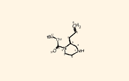 C=CCC1CNCCN1C(=O)OC(C)(C)C